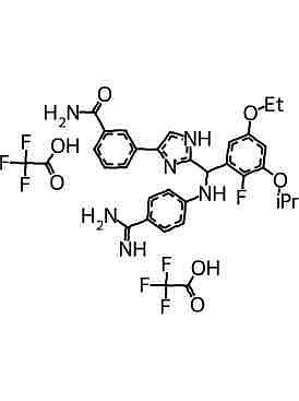 CCOc1cc(OC(C)C)c(F)c(C(Nc2ccc(C(=N)N)cc2)c2nc(-c3cccc(C(N)=O)c3)c[nH]2)c1.O=C(O)C(F)(F)F.O=C(O)C(F)(F)F